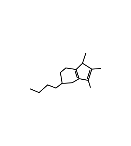 CCCCC1CCC2=C(C1)C(C)=C(C)[C]2C